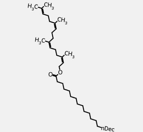 CCCCCCCCCCCCCCCCCCCCCCCC(=O)OCC=C(C)CCC=C(C)CCC=C(C)CCC=C(C)C